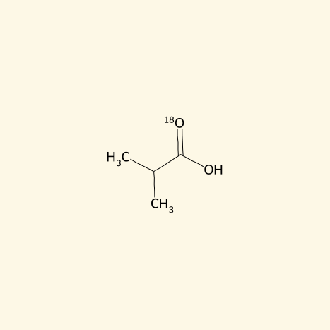 CC(C)C(O)=[18O]